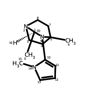 C[C@H]1N2CCC(C)(CC2)N1c1cccn1C